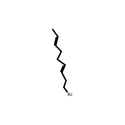 C/C=C/CC/C=C/CCC(C)=O